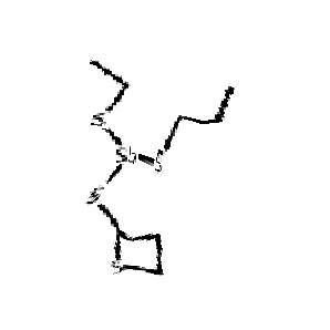 CCC[S][Sb]([S]CC)[S]C1CCS1